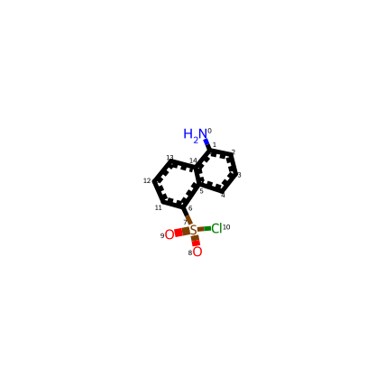 Nc1cccc2c(S(=O)(=O)Cl)cccc12